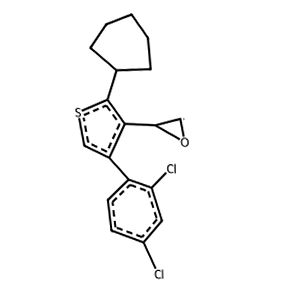 Clc1ccc(-c2csc(C3CCCCC3)c2C2[CH]O2)c(Cl)c1